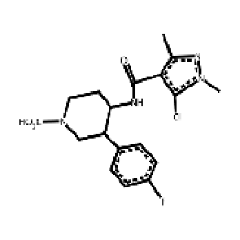 Cc1nn(C)c(Cl)c1C(=O)NC1CCN(C(=O)O)CC1c1ccc(F)cc1